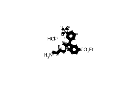 CCOC(=O)c1ccc2c(c1)c(-c1cccc(S(C)(=O)=O)c1)c(C)n2C/C(F)=C/CN.Cl